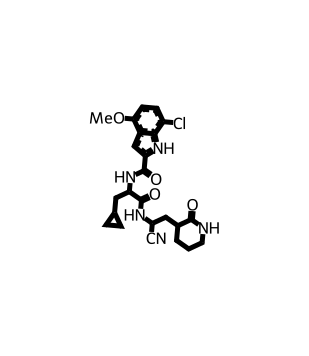 COc1ccc(Cl)c2[nH]c(C(=O)NC(CC3CC3)C(=O)NC(C#N)CC3CCCNC3=O)cc12